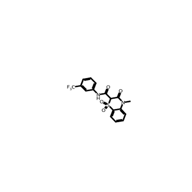 CN1C(=O)C(C(=O)Nc2cccc(C(F)(F)F)c2)S(=O)(=O)c2ccccc21